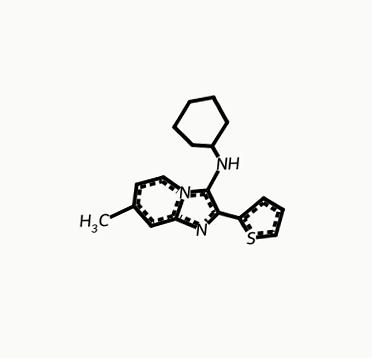 Cc1ccn2c(NC3CCCCC3)c(-c3cccs3)nc2c1